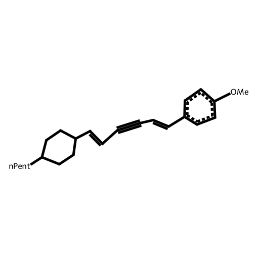 CCCCCC1CCC(C=CC#CC=Cc2ccc(OC)cc2)CC1